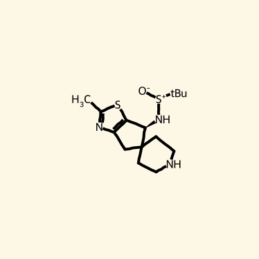 Cc1nc2c(s1)[C@@H](N[S+]([O-])C(C)(C)C)C1(CCNCC1)C2